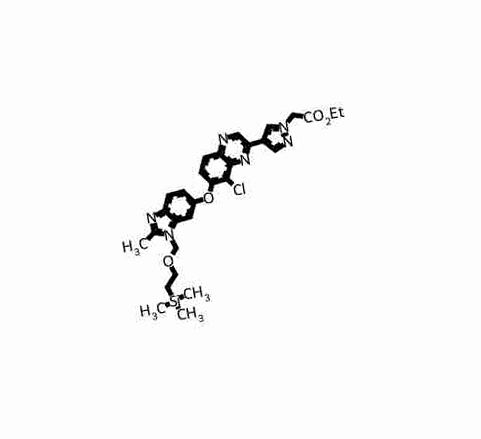 CCOC(=O)Cn1cc(-c2cnc3ccc(Oc4ccc5nc(C)n(COCC[Si](C)(C)C)c5c4)c(Cl)c3n2)cn1